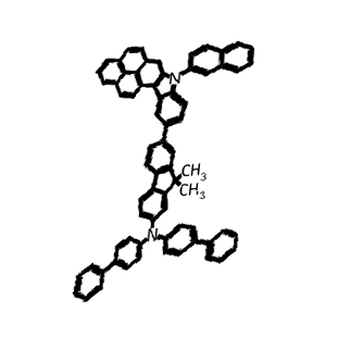 CC1(C)c2cc(-c3ccc4c(c3)c3c(n4-c4ccc5ccccc5c4)CC4C=Cc5cccc6ccc-3c4c56)ccc2-c2ccc(N(c3ccc(-c4ccccc4)cc3)c3ccc(-c4ccccc4)cc3)cc21